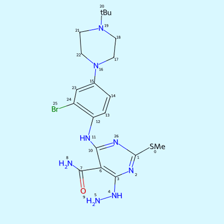 CSc1nc(NN)c(C(N)=O)c(Nc2ccc(N3CCN(C(C)(C)C)CC3)cc2Br)n1